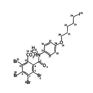 CN(C(=O)c1c(Br)c(Br)c(Br)c(Br)c1C(=O)O)c1ccc(OCCCCCI)cc1